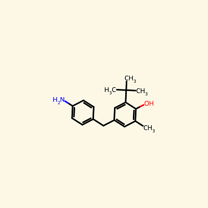 Cc1cc(Cc2ccc(N)cc2)cc(C(C)(C)C)c1O